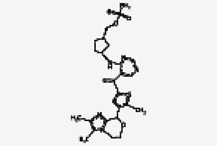 Cc1nc2n(c1C)CCOC2c1cc(C(=O)c2cncnc2N[C@H]2CC[C@@H](COS(N)(=O)=O)C2)sc1C